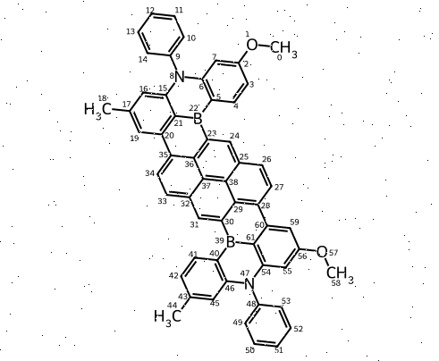 COc1ccc2c(c1)N(c1ccccc1)c1cc(C)cc3c1B2c1cc2ccc4c5c(cc6ccc-3c1c6c25)B1c2ccc(C)cc2N(c2ccccc2)c2cc(OC)cc-4c21